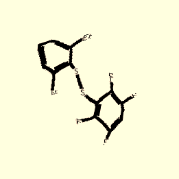 CCc1cccc(CC)c1SSc1c(F)c(F)cc(F)c1F